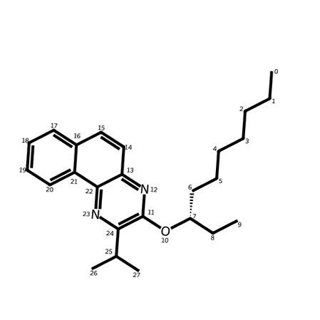 CCCCCCC[C@H](CC)Oc1nc2ccc3ccccc3c2nc1C(C)C